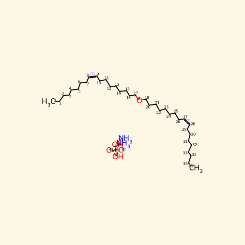 CCCCCCCC/C=C\CCCCCCCCOCCCCCCCC/C=C\CCCCCCCC.N.N.O=S(=O)(O)O